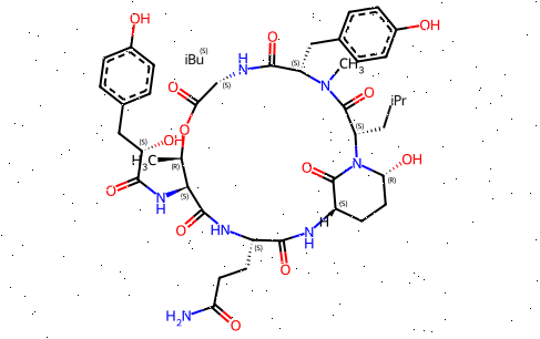 CC[C@H](C)[C@@H]1NC(=O)[C@H](Cc2ccc(O)cc2)N(C)C(=O)[C@H](CC(C)C)N2C(=O)[C@H](CC[C@H]2O)NC(=O)[C@H](CCC(N)=O)NC(=O)[C@@H](NC(=O)[C@@H](O)Cc2ccc(O)cc2)[C@@H](C)OC1=O